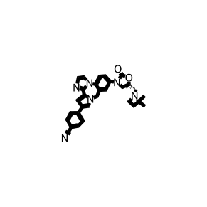 CC1(C)CCN1C[C@@H]1CN(c2ccc3c(c2)Cn2cc(-c4ccc(C#N)cc4)cc2-c2nccn2-3)C(=O)O1